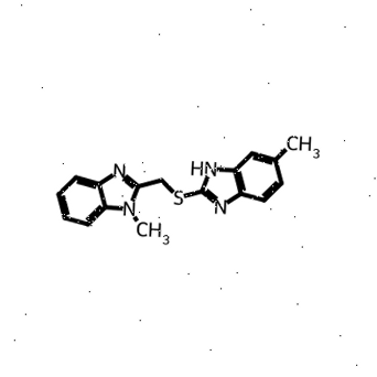 Cc1ccc2nc(SCc3nc4ccccc4n3C)[nH]c2c1